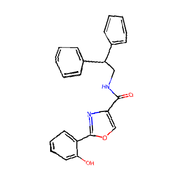 O=C(NCC(c1ccccc1)c1ccccc1)c1coc(-c2ccccc2O)n1